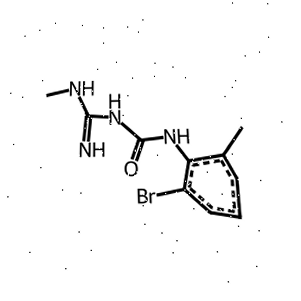 CNC(=N)NC(=O)Nc1c(C)cccc1Br